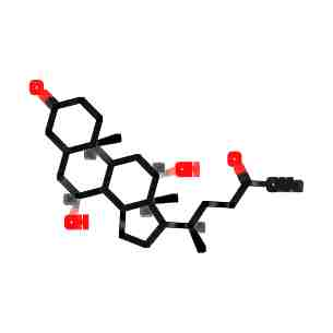 COC(=O)CC[C@@H](C)C1CCC2C3C(C[C@H](O)[C@@]21C)[C@@]1(C)CCC(=O)CC1C[C@H]3O